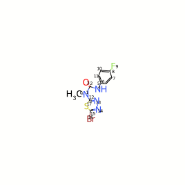 CN(C(=O)Nc1ccc(F)cc1)c1nnc(Br)s1